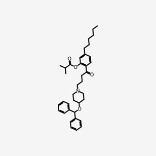 CCCCCCc1ccc(C(=O)CCCN2CCC(OC(c3ccccc3)c3ccccc3)CC2)c(OC(=O)C(C)C)c1